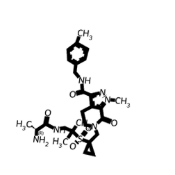 Cc1ccc(CNC(=O)c2nn(C)c3c2CCN(CC2(S(=O)(=O)C(C)(C)CNC(=O)[C@@H](C)N)CC2)C3=O)cc1